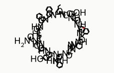 CCCC[C@H]1C(=O)N(C)CC(=O)N[C@@H](CC(=O)O)C(=O)N[C@@H](C(C)C)C(=O)N(C)[C@@H](Cc2ccccc2)C(=O)NC2(CCCCC2)c2nnnn2CC(=O)N[C@@H](Cc2c[nH]c3ccccc23)C(=O)N[C@@H](Cc2ccc(O)cc2)C(=O)N[C@@H](CC(C)C)C(=O)N[C@H](C(=O)NCC(N)=O)CSCC(=O)N[C@@H](Cc2ccccc2)C(=O)N(C)[C@@H](Cc2ccccc2)C(=O)N1C